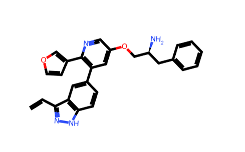 C=Cc1n[nH]c2ccc(-c3cc(OC[C@@H](N)Cc4ccccc4)cnc3-c3ccoc3)cc12